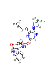 C[C@@](NC(=O)Oc1cnc(N2CC(F)(F)C2)c(OCC2CC2)n1)(C(N)=O)c1ccccc1